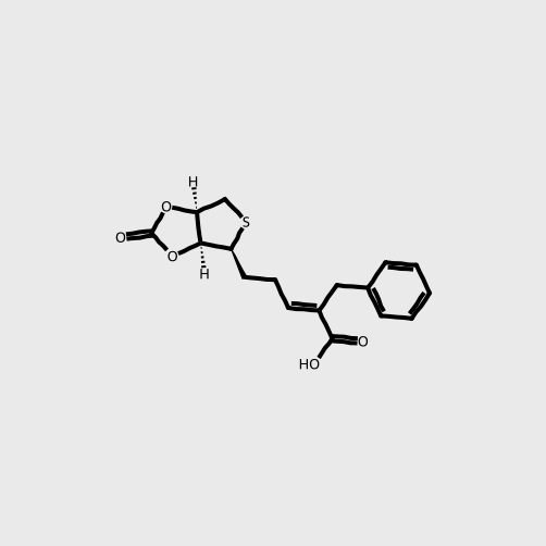 O=C1O[C@H]2[C@H](CS[C@H]2CC/C=C(\Cc2ccccc2)C(=O)O)O1